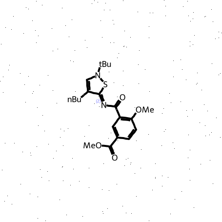 CCCCc1cn(C(C)(C)C)s/c1=N\C(=O)c1cc(C(=O)OC)ccc1OC